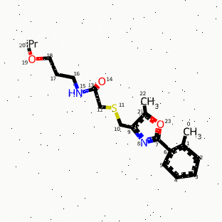 Cc1ccccc1-c1nc(CSCC(=O)NCCCOC(C)C)c(C)o1